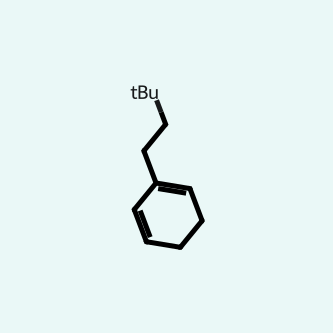 CC(C)(C)CCC1=CCCC=C1